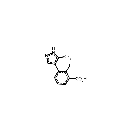 O=C(O)c1cccc(-c2cn[nH]c2C(F)(F)F)c1F